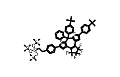 CC(C)(C)c1ccc(-c2cc3c(s2)C(c2ccccc2)(c2ccc(C(C)(C)C)cc2)c2sc(-c4ccc(CC[Si](O[Si](C)(C)C)(O[Si](C)(C)C)O[Si](C)(C)C)cc4)cc2C2=C3C(F)(F)C(F)(F)C2(F)F)cc1